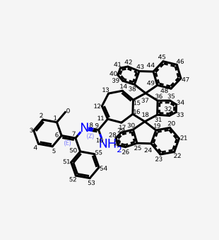 CC1C=CC=C/C1=C(/N=C(\N)C1=CCC=C2C(C1)C1(c3ccccc3-c3ccccc31)c1ccccc1C21c2ccccc2-c2ccccc21)C1=C=C=CC=C1